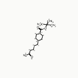 CC(C)(C)OC(=O)N1CCN(CCCCC(=O)O)CC1